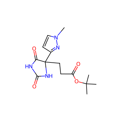 Cn1ccc(C2(CCC(=O)OC(C)(C)C)NC(=O)NC2=O)n1